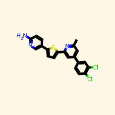 Cc1cc(-c2ccc(Cl)c(Cl)c2)cc(-c2ccc(-c3ccc(N)nc3)s2)n1